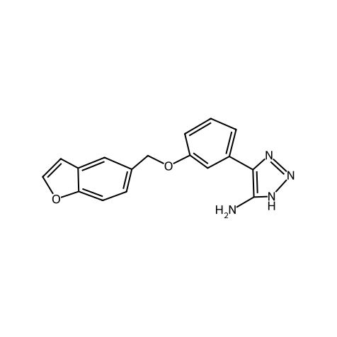 Nc1[nH]nnc1-c1cccc(OCc2ccc3occc3c2)c1